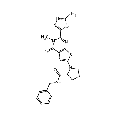 Cc1nnc(-c2nc3sc(N4CCC[C@@H]4C(=O)NCc4ccccc4)nc3c(=O)n2C)o1